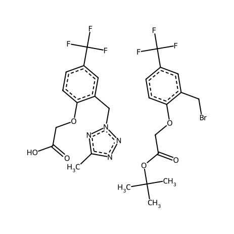 CC(C)(C)OC(=O)COc1ccc(C(F)(F)F)cc1CBr.Cc1nnn(Cc2cc(C(F)(F)F)ccc2OCC(=O)O)n1